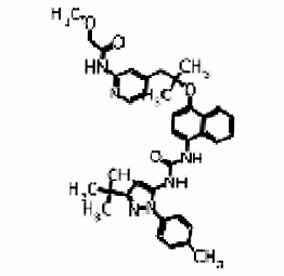 COCC(=O)Nc1cc(CC(C)(C)Oc2ccc(NC(=O)Nc3cc(C(C)(C)C)nn3-c3ccc(C)cc3)c3ccccc23)ccn1